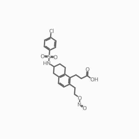 O=NOCCc1ccc2c(c1CCC(=O)O)CCC(NS(=O)(=O)c1ccc(Cl)cc1)C2